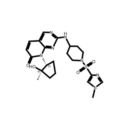 Cn1cnc(S(=O)(=O)N2CCC(Nc3ncc4ccc(=O)n([C@@H]5CCC[C@@]5(C)O)c4n3)CC2)c1